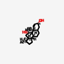 CC(=O)[C@H]1CC[C@H]2[C@@H]3CCC4C[C@@H](O)C=C[C@]4(C)[C@H]3CC[C@]12C.O=S(=O)(O)O